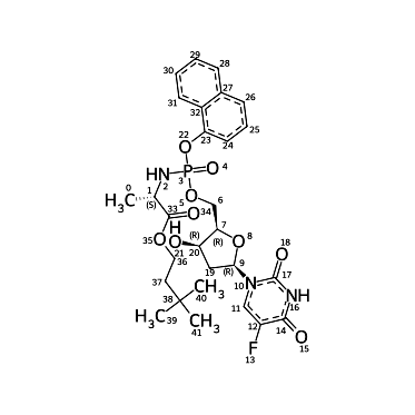 C[C@H](NP(=O)(OC[C@H]1O[C@@H](n2cc(F)c(=O)[nH]c2=O)C[C@H]1O)Oc1cccc2ccccc12)C(=O)OCCC(C)(C)C